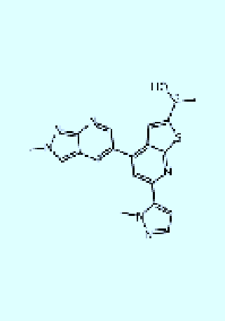 C[C@H](O)c1cc2c(-c3cnc4nn(C)cc4c3)cc(-c3ccnn3C)nc2s1